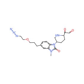 Cn1c(=O)n(C2CCC(C(=O)C=O)NC2)c2ccc(CCCOCCN=[N+]=[N-])cc21